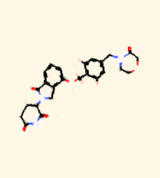 Bc1cc(CN2CCOCC2=O)cc(B)c1C(B)(B)Oc1cccc2c1CN(C1CCC(=O)NC1=O)C2=O